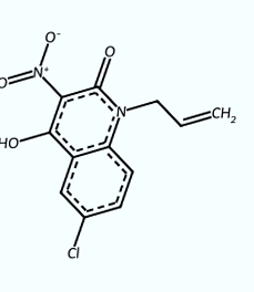 C=CCn1c(=O)c([N+](=O)[O-])c(O)c2cc(Cl)ccc21